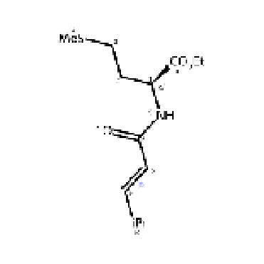 CCOC(=O)[C@H](CCSC)NC(=O)/C=C/C(C)C